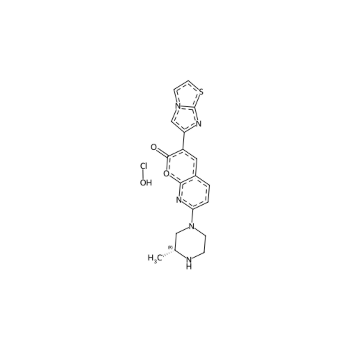 C[C@@H]1CN(c2ccc3cc(-c4cn5ccsc5n4)c(=O)oc3n2)CCN1.OCl